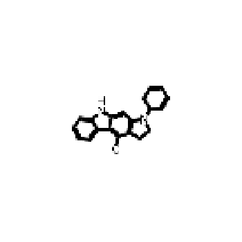 Clc1c2c(cc3[nH]c4ccccc4c13)N(C1C=CC=CC1)CC2